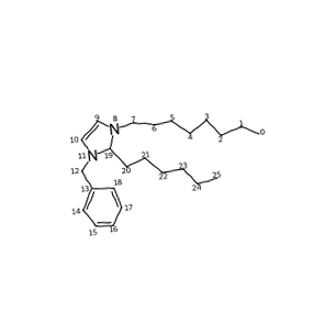 CCCCCCCCN1C=CN(Cc2ccccc2)C1CCCCCC